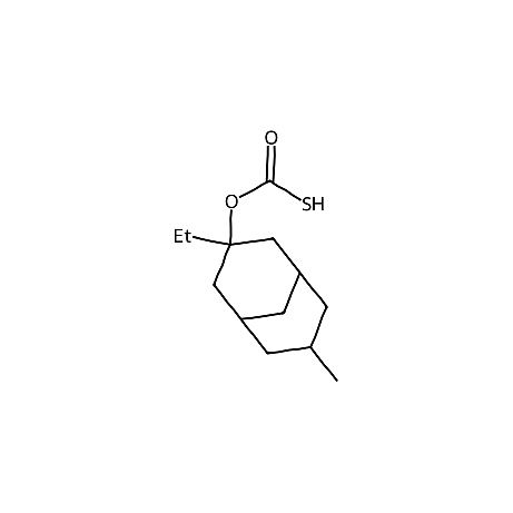 CCC1(OC(=O)S)CC2CC(C)CC(C2)C1